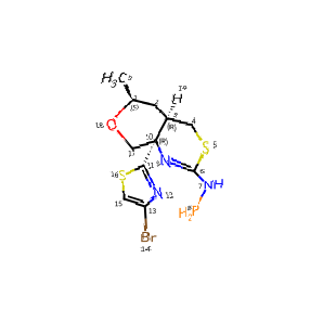 C[C@H]1C[C@H]2CSC(NP)=N[C@@]2(c2nc(Br)cs2)CO1